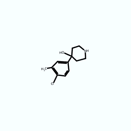 Cc1cc(C2(O)CCNCC2)ccc1Cl